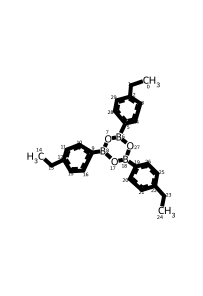 CCc1ccc(B2OB(c3ccc(CC)cc3)OB(c3ccc(CC)cc3)O2)cc1